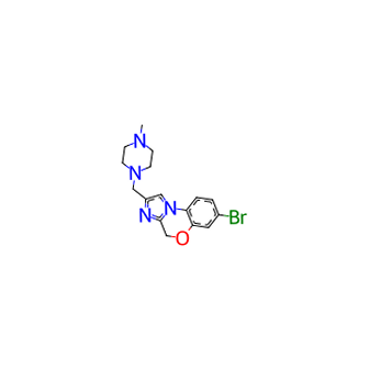 CN1CCN(Cc2cn3c(n2)COc2cc(Br)ccc2-3)CC1